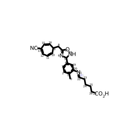 Cc1ccc(C2N=C(CC3C=CC=C(C#N)C=C3)ON2)cc1/N=C/CCCCC(=O)O